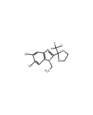 CCn1c(C2(C(F)(F)F)OCCO2)nc2cc(Cl)c(Cl)cc21